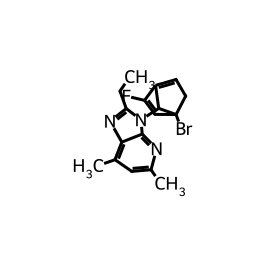 CCc1nc2c(C)cc(C)nc2n1C1C2=CCC1(Br)C=C2F